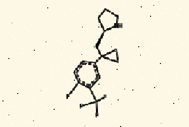 Fc1ccc(C2([CH][C@H]3CCCN3)CC2)cc1C(F)(F)F